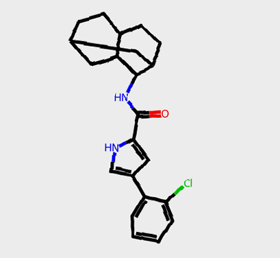 O=C(NC1C2CCC3CCC(C2)CC31)c1cc(-c2ccccc2Cl)c[nH]1